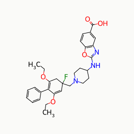 CCOC1=CC(F)(CN2CCC(Nc3nc4cc(C(=O)O)ccc4o3)CC2)CC(OCC)=C1c1ccccc1